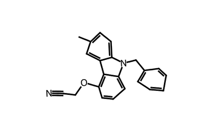 Cc1ccc2c(c1)c1c(OCC#N)cccc1n2Cc1ccccc1